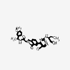 CCC(CO)Nc1ncc(Cl)c(-c2ccc3c(c2)C(=O)N(CC(=O)N[C@H](C)c2cccc(OC)c2)C3)n1